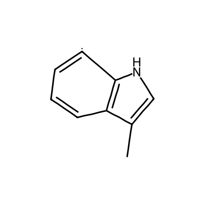 Cc1c[nH]c2[c]cccc12